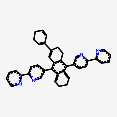 C1=CC(C2=Cc3c(c(-c4ccc(-c5ccccn5)nc4)c4c(c3-c3ccc(-c5ccccn5)nc3)=CCCC=4)CC2)=CCC1